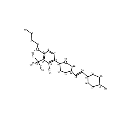 CCCCOc1ccc(C2CCC(/C=C/C3CCC(C)CC3)CO2)c(F)c1C(F)(F)F